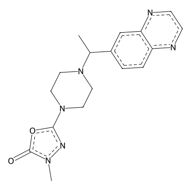 CC(c1ccc2nccnc2c1)N1CCN(c2nn(C)c(=O)o2)CC1